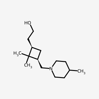 CC1CCN(C[C@@H]2C[C@H](CCO)C2(C)C)CC1